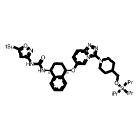 CC(C)[Si](OCC1CCN(c2nnc3ccc(O[C@@H]4CC[C@H](NC(=O)Nc5cc(C(C)(C)C)on5)c5ccccc54)cn23)CC1)(C(C)C)C(C)C